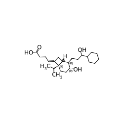 CC(C)[C@]12CC[C@@H](O)[C@H](CCC(O)C3CCCCC3)[C@H]1CC2=CCCC(=O)O